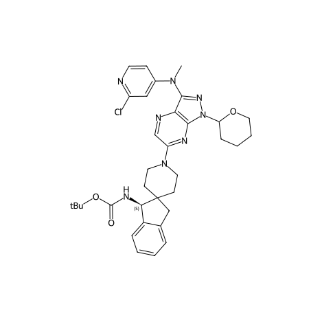 CN(c1ccnc(Cl)c1)c1nn(C2CCCCO2)c2nc(N3CCC4(CC3)Cc3ccccc3[C@H]4NC(=O)OC(C)(C)C)cnc12